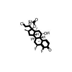 CCC(=O)O[C@]1(C(=O)CCl)[C@H](C)C[C@H]2[C@@H]3C[C@H](F)C4=C(F)C(=O)C=C[C@]4(C)[C@H]3[C@@H](O)C[C@@]21C